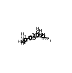 Cc1cc(-c2ccc(S(=O)(=O)N3CC[C@@H](Nc4ccc(C(F)(F)F)cn4)[C@@H](O)C3)cc2)cc2cn[nH]c12